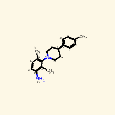 Cc1ccc(C2CCN(c3c(C#N)ccc(N)c3C)CC2)cc1